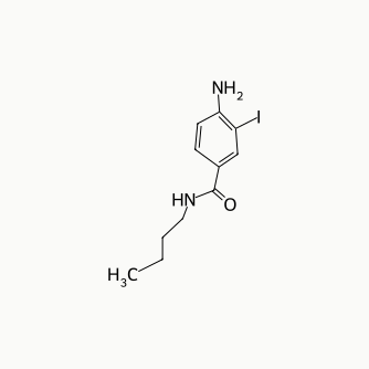 CCCCNC(=O)c1ccc(N)c(I)c1